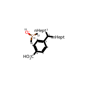 CCCCCCCC(CCCCCCC)c1ccc(C(=O)O)cc1.C[S+](C)[O-]